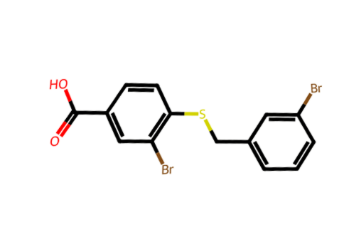 O=C(O)c1ccc(SCc2cccc(Br)c2)c(Br)c1